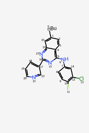 CCCCc1ccc2c(Nc3ccc(F)c(Cl)c3)nc(-c3cccnc3)nc2c1